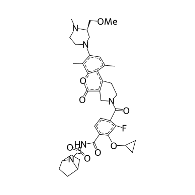 COC[C@H]1CN(c2cc(C)c3c4c(c(=O)oc3c2C)CN(C(=O)c2ccc(C(=O)NS(=O)(=O)N3C5CCC3CC5)c(OC3CC3)c2F)CC4)CCN1C